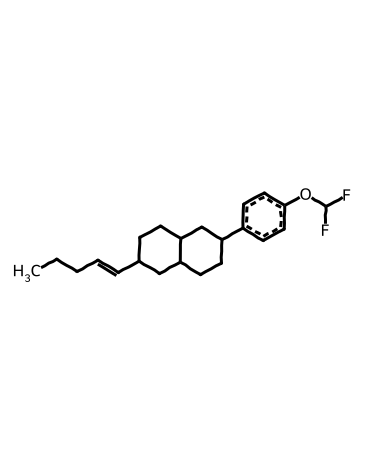 CCCC=CC1CCC2CC(c3ccc(OC(F)F)cc3)CCC2C1